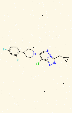 Fc1ccc(C2CCN(c3cnn4c(CC5CC5)nnc4c3Cl)CC2)c(F)c1